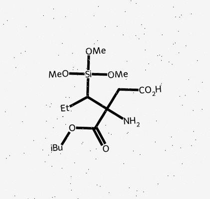 CCC(C)OC(=O)C(N)(CC(=O)O)C(CC)[Si](OC)(OC)OC